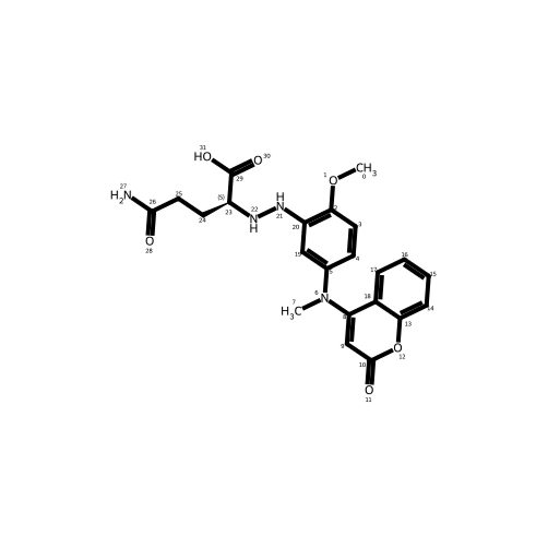 COc1ccc(N(C)c2cc(=O)oc3ccccc23)cc1NN[C@@H](CCC(N)=O)C(=O)O